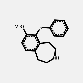 COc1ccc2c(c1Sc1ccccc1)CCNCC2